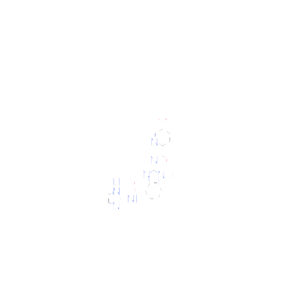 O=C(Nc1nc2c(C(=O)Nc3ncc[nH]3)cccc2[nH]1)c1ccc(OCCC2CCCC2)cn1